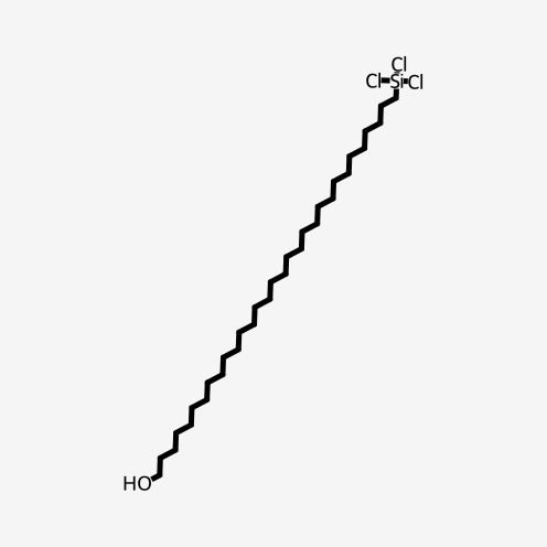 OCCCCCCCCCCCCCCCCCCCCCCCCCCCCCCC[Si](Cl)(Cl)Cl